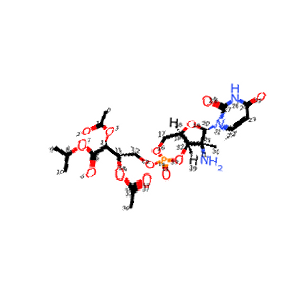 CC(=O)O[C@H](C(=O)OC(C)C)[C@@H](COP1(=O)OC[C@H]2O[C@@H](n3ccc(=O)[nH]c3=O)[C@](C)(N)[C@@H]2O1)OC(C)=O